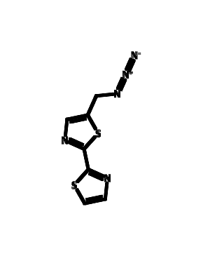 [N-]=[N+]=NCc1cnc(-c2nccs2)s1